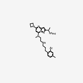 CCCCCC(C)c1cc2nc(N3CCC3)cc(N(C)CCNCCCc3ccc(C)cc3C(C)=O)n2n1